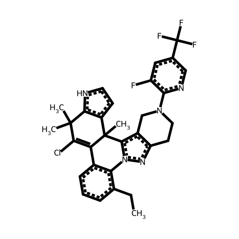 CCc1cccc2c1-n1nc3c(c1C1(C)C2=C(Cl)C(C)(C)c2[nH]ccc21)CN(c1ncc(C(F)(F)F)cc1F)CC3